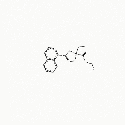 CCOC(=O)C1(CC)CC(c2nccc3ccccc23)=NO1